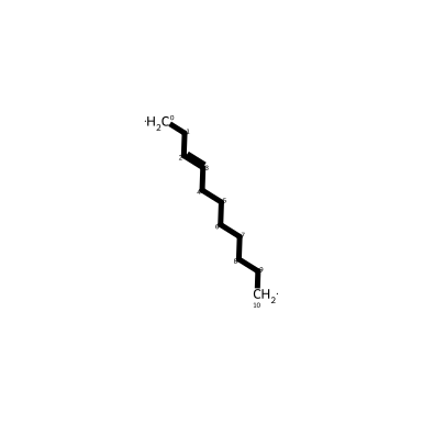 [CH2]CC=CCCCCCC[CH2]